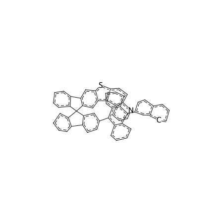 c1ccc2c(c1)-c1ccc(-c3c4ccccc4c(-c4ccc5ccccc5c4)c4ccccc34)cc1C21c2ccccc2-c2cc3sc4ccc5ncccc5c4c3cc21